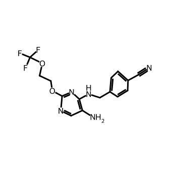 N#Cc1ccc(CNc2nc(OCCOC(F)(F)F)ncc2N)cc1